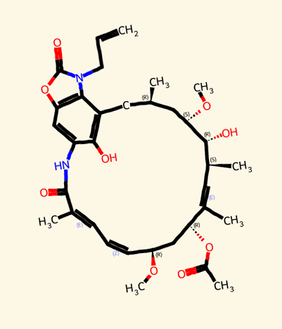 C=CCn1c(=O)oc2cc3c(O)c(c21)C[C@@H](C)C[C@H](OC)[C@H](O)[C@@H](C)/C=C(\C)[C@H](OC(C)=O)C[C@@H](OC)/C=C\C=C(/C)C(=O)N3